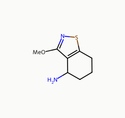 COc1nsc2c1C(N)CCC2